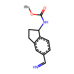 CC(C)(C)OC(=O)NC1CCc2cc(C=N)ccc21